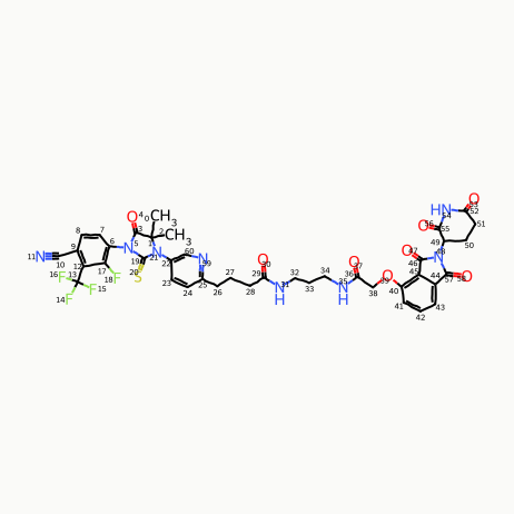 CC1(C)C(=O)N(c2ccc(C#N)c(C(F)(F)F)c2F)C(=S)N1c1ccc(CCCC(=O)NCCCNC(=O)COc2cccc3c2C(=O)N(C2CCC(=O)NC2=O)C3=O)nc1